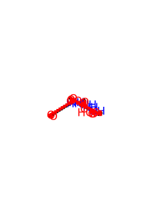 CC(C)(C)OC(=O)CCCCCCCCCCCCCCCCC(=O)N[C@@H](CCC(=O)NCCCC[C@H](NC(=O)OC(C)(C)C)C(=O)NCCCC[C@H](NC(=O)OCc1ccccc1)C(=O)O)C(=O)OC(C)(C)C